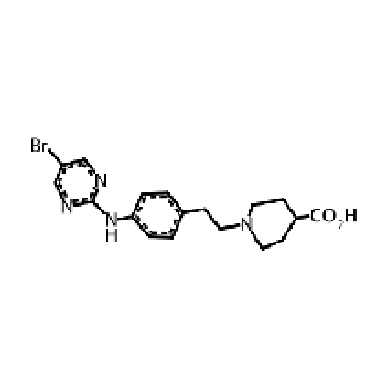 O=C(O)C1CCN(CCc2ccc(Nc3ncc(Br)cn3)cc2)CC1